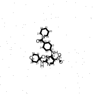 CC1(Nc2ncc([N+](=O)[O-])c(NC3CCC(C(=O)N4CCCCC4)CC3)n2)CCOCC1